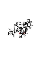 CCOC(=O)/C(F)=C/[C@@H](C[C@H]1CCNC1=O)NC(=O)[C@H]1[C@H]2CC[C@H](CC2(F)F)N1C(=O)[C@@H](CC(C)C)Nc1cccc(Cl)c1